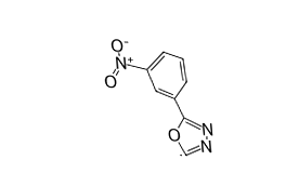 O=[N+]([O-])c1cccc(-c2nn[c]o2)c1